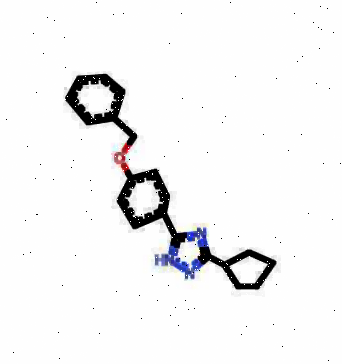 c1ccc(COc2ccc(-c3nc(C4CCCC4)n[nH]3)cc2)cc1